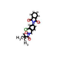 CC1(C)CON(Cc2ccc(N3C(=O)C4CCCCC4C3=O)cc2Cl)C1=O